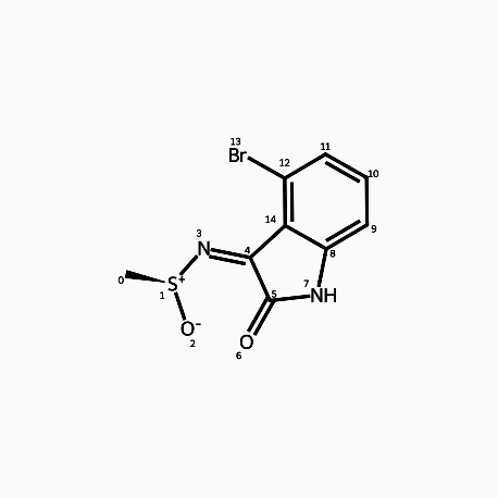 C[S@+]([O-])/N=C1\C(=O)Nc2cccc(Br)c21